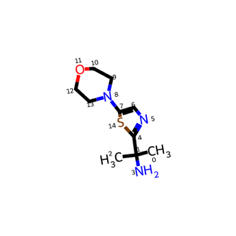 CC(C)(N)c1ncc(N2CCOCC2)s1